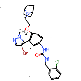 Cn1ncc(Br)c1-c1cc(NC(=O)NCc2ccccc2Cl)ccc1OCCN1C2CCC1CC2